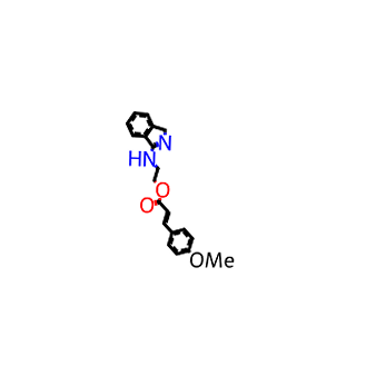 COc1ccc(/C=C/C(=O)OCCNC2=NCc3ccccc32)cc1